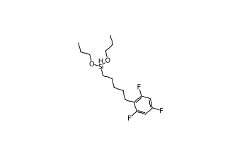 CCCO[SiH](CCCCCc1c(F)cc(F)cc1F)OCCC